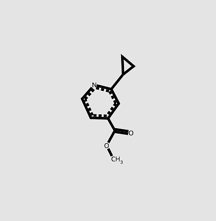 COC(=O)c1ccnc(C2CC2)c1